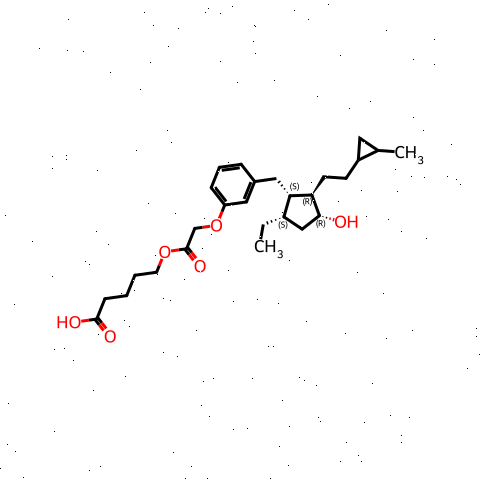 CC[C@H]1C[C@@H](O)[C@H](CCC2CC2C)[C@H]1Cc1cccc(OCC(=O)OCCCCC(=O)O)c1